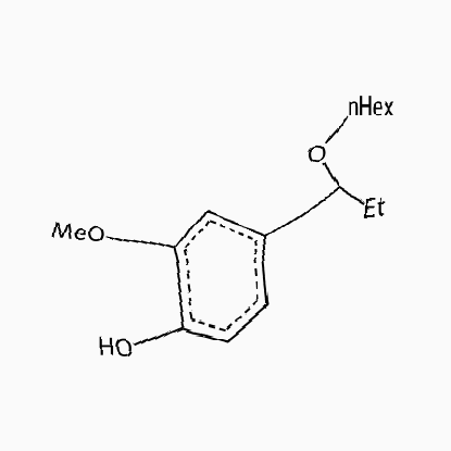 CCCCCCOC(CC)c1ccc(O)c(OC)c1